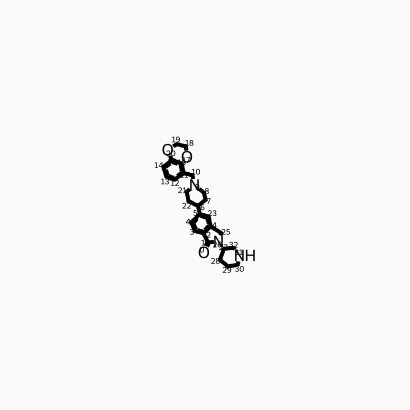 O=C1c2ccc(C3CCN(Cc4cccc5c4OCCO5)CC3)cc2CN1C1CCCNC1